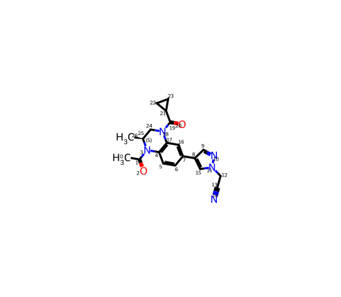 CC(=O)N1c2ccc(-c3cnn(CC#N)c3)cc2N(C(=O)C2CC2)C[C@@H]1C